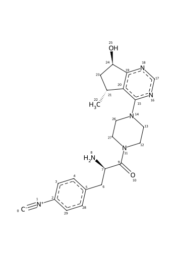 [C-]#[N+]c1ccc(C[C@@H](N)C(=O)N2CCN(c3ncnc4c3[C@H](C)C[C@H]4O)CC2)cc1